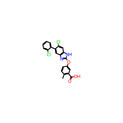 Cc1ccc(Oc2nc3cc(-c4ccccc4Cl)c(Cl)cc3[nH]2)cc1C(=O)O